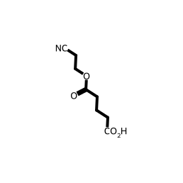 N#CCCOC(=O)CCCC(=O)O